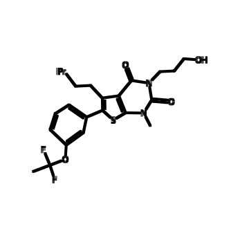 CC(C)CCc1c(-c2cccc(OC(C)(F)F)c2)sc2c1c(=O)n(CCCO)c(=O)n2C